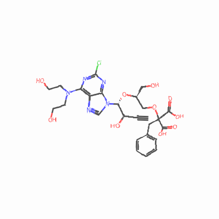 C#C[C@@H](O)[C@@H](O[C@@H](CO)COC(Cc1ccccc1)(C(=O)O)C(=O)O)n1cnc2c(N(CCO)CCO)nc(Cl)nc21